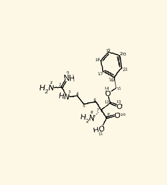 N=C(N)NCCC[C@](N)(C(=O)O)C(=O)OCc1ccccc1